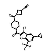 N#CC1CN(C(=O)C2CCN(C(=O)c3oc4c(C(F)(F)F)cc(C5CC5)cc4c3Cl)CC2)C1